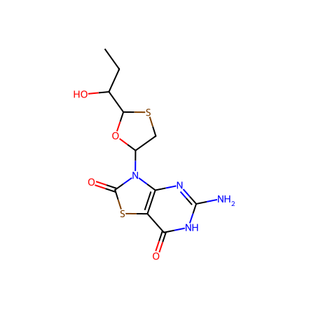 CCC(O)C1OC(n2c(=O)sc3c(=O)[nH]c(N)nc32)CS1